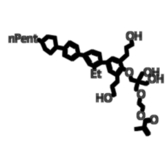 C=C(C)C(=O)OCCOCC(CO)(CO)COc1c(CCCO)cc(-c2ccc(-c3ccc(C4CCC(CCCCC)CC4)cc3)cc2CC)cc1CCCO